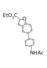 CCOC(=O)c1cc2cc(-c3ccc(NC(C)=O)cc3)ccc2o1